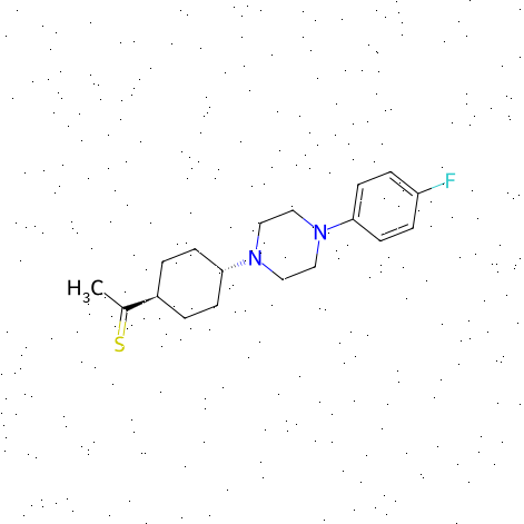 CC(=S)[C@H]1CC[C@H](N2CCN(c3ccc(F)cc3)CC2)CC1